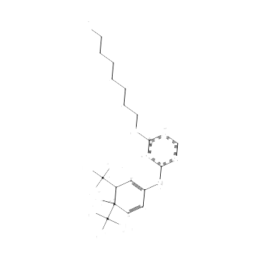 CCCCCCCCSc1ncnc(NC2=CC(C(C)(C)C)C(O)(C(C)(C)C)C=C2)n1